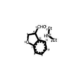 CCNCC.O=CC1COc2ccccc21